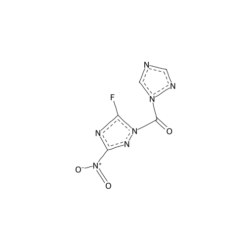 O=C(n1cncn1)n1nc([N+](=O)[O-])nc1F